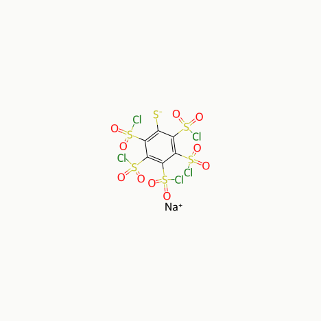 O=S(=O)(Cl)c1c([S-])c(S(=O)(=O)Cl)c(S(=O)(=O)Cl)c(S(=O)(=O)Cl)c1S(=O)(=O)Cl.[Na+]